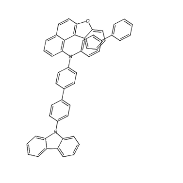 c1ccc(-c2ccc(N(c3ccc(-c4ccc(-n5c6ccccc6c6ccccc65)cc4)cc3)c3cccc4ccc5oc6ccccc6c5c34)cc2)cc1